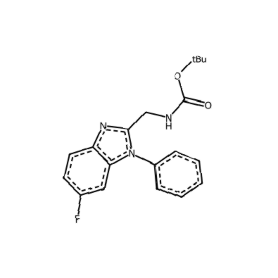 CC(C)(C)OC(=O)NCc1nc2ccc(F)cc2n1-c1ccccc1